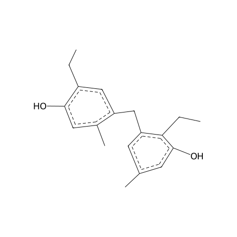 CCc1cc(Cc2cc(C)cc(O)c2CC)c(C)cc1O